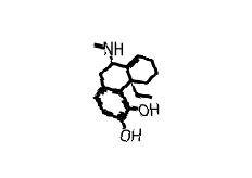 CC[C@]12CCCC=C1[C@H](NC)Cc1ccc(O)c(O)c12